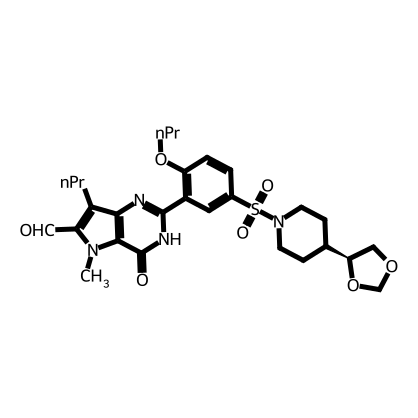 CCCOc1ccc(S(=O)(=O)N2CCC([C@H]3COCO3)CC2)cc1-c1nc2c(CCC)c(C=O)n(C)c2c(=O)[nH]1